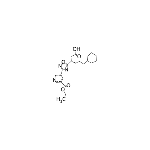 CCOC(=O)c1cncc(-c2noc([C@H](CCCC3CCCCC3)CC(=O)O)n2)c1